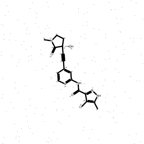 Cc1[nH]nc(C(=O)Nc2cc(C#C[C@]3(O)CCN(C)C3=O)ccn2)c1Cl